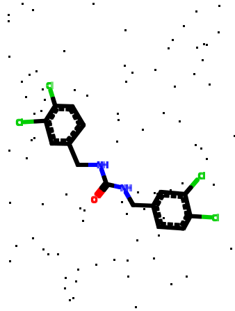 O=C(NCc1ccc(Cl)c(Cl)c1)NCc1ccc(Cl)c(Cl)c1